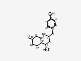 CCC(CC(F)Cc1ccc(O)cc1)C1CCC(C)CC1